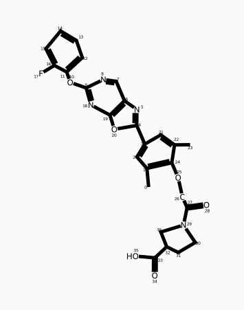 Cc1cc(-c2nc3cnc(Oc4ccccc4F)nc3o2)cc(C)c1OCC(=O)N1CCC(C(=O)O)C1